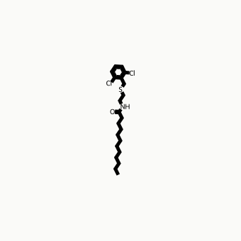 CCCCCCCCCCCC(=O)NCCSCc1c(Cl)cccc1Cl